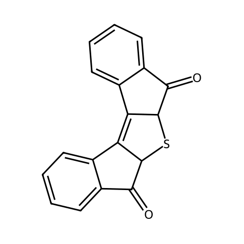 O=C1c2ccccc2C2=C3c4ccccc4C(=O)C3SC12